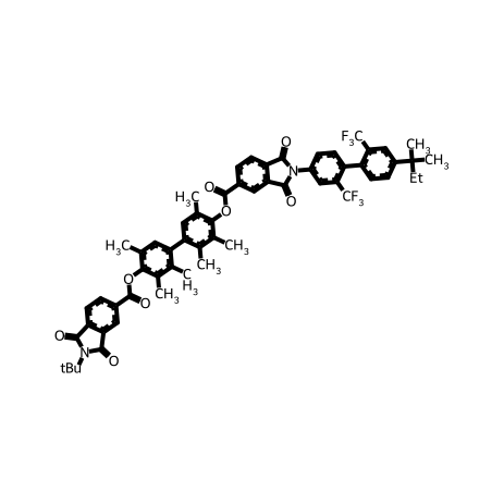 CCC(C)(C)c1ccc(-c2ccc(N3C(=O)c4ccc(C(=O)Oc5c(C)cc(-c6cc(C)c(OC(=O)c7ccc8c(c7)C(=O)N(C(C)(C)C)C8=O)c(C)c6C)c(C)c5C)cc4C3=O)cc2C(F)(F)F)c(C(F)(F)F)c1